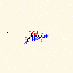 [N-]=[N+]=CC(=O)CC[C@H](NC(=O)[C@@H](N)CCC(=O)C=[N+]=[N-])C(=O)O